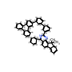 CC1(C)c2ccccc2-c2ccc3c(-c4ccccc4)nc(-c4cccc(-c5cccc(-c6ccc7c8ccccc8c8ccccc8c7c6)c5)c4)nc3c21